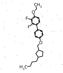 CCCCC1CCC(COc2ccc(-c3ccc(OCC)c(F)c3F)cc2)C1